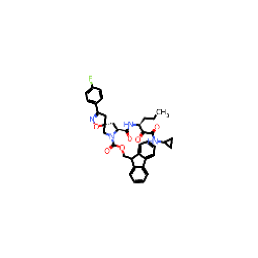 CCC[C@H](NC(=O)[C@@H]1C[C@]2(CC(c3ccc(F)cc3)=NO2)CN1C(=O)OCC1c2ccccc2-c2ccccc21)C(=O)C(=O)NC1CC1